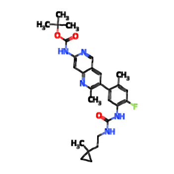 Cc1cc(F)c(NC(=O)NCCC2(C)CC2)cc1-c1cc2cnc(NC(=O)OC(C)(C)C)cc2nc1C